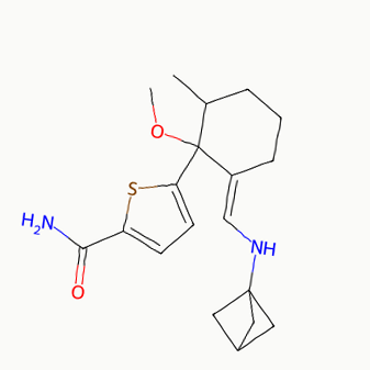 COC1(c2ccc(C(N)=O)s2)/C(=C/NC23CC(C2)C3)CCCC1C